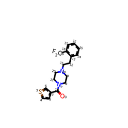 O=C(c1ccsc1)N1CCN(CCc2ccccc2C(F)(F)F)CC1